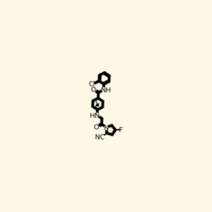 N#C[C@@H]1C[C@H](F)CN1C(=O)CNC12CCC(C(=O)Nc3ccccc3Cl)(CC1)CC2